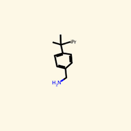 CC(C)C(C)(C)c1ccc(CN)cc1